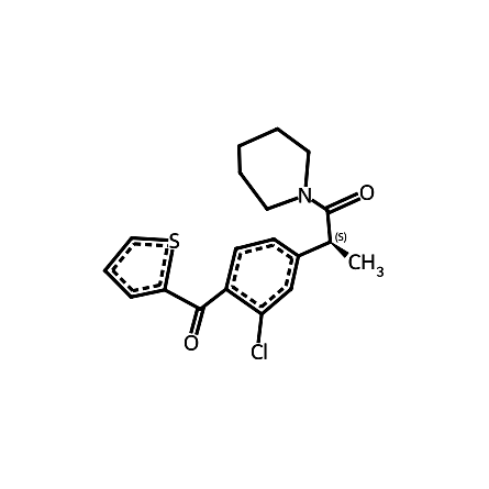 C[C@H](C(=O)N1CCCCC1)c1ccc(C(=O)c2cccs2)c(Cl)c1